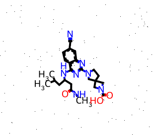 CNC(=O)CC(CC(C)C)Nc1nc(N2CCC3(CN(C(=O)O)C3)C2)nc2cc(C#N)ccc12